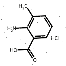 Cc1cccc(C(=O)O)c1N.Cl